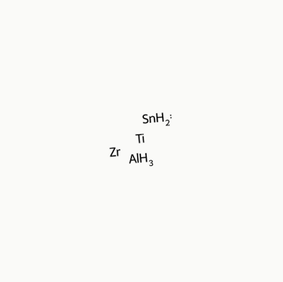 [AlH3].[SnH2].[Ti].[Zr]